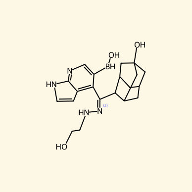 OBc1cnc2[nH]ccc2c1/C(=N\NCCO)C1C2CC3CC1CC(O)(C3)C2